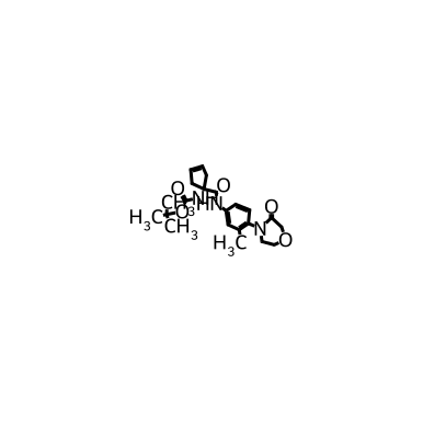 Cc1cc(NC(=O)C2(NC(=O)OC(C)(C)C)CC=CC2)ccc1N1CCOCC1=O